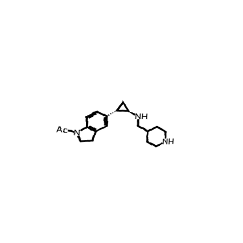 CC(=O)N1CCc2cc([C@@H]3C[C@H]3NCC3CCNCC3)ccc21